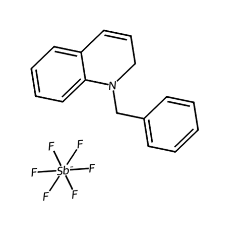 C1=Cc2ccccc2N(Cc2ccccc2)C1.[F][Sb-]([F])([F])([F])([F])[F]